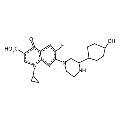 O=C(O)c1cn(C2CC2)c2cc(N3CCNC(C4CCC(O)CC4)C3)c(F)cc2c1=O